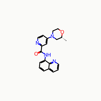 C[C@@H]1CN(c2ccnc(C(=O)Nc3cccc4cccnc34)c2)CCO1